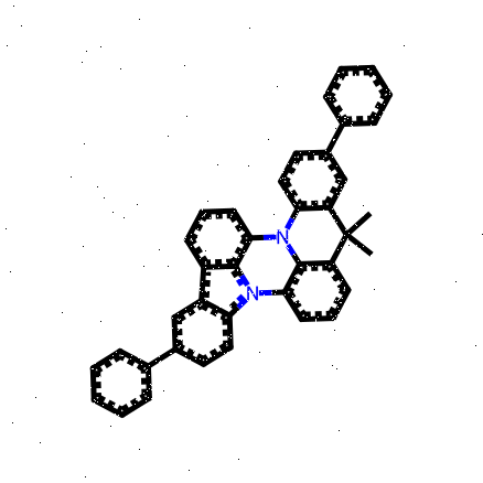 CC1(C)c2cc(-c3ccccc3)ccc2N2c3c(cccc31)-n1c3ccc(-c4ccccc4)cc3c3cccc2c31